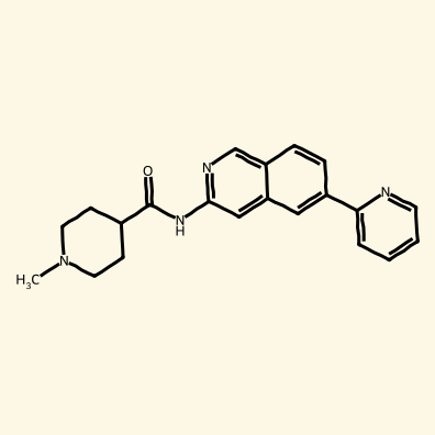 CN1CCC(C(=O)Nc2cc3cc(-c4ccccn4)ccc3cn2)CC1